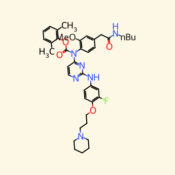 CCCCNC(=O)Cc1ccc(N(C(=O)Oc2c(C)cccc2C)c2ccnc(Nc3ccc(OCCCN4CCCCC4)c(F)c3)n2)c(OC)c1